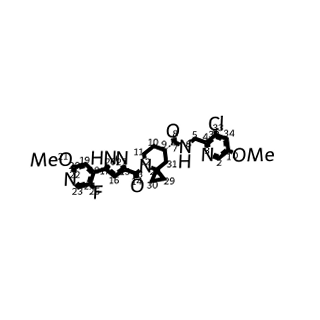 COc1cnc(CNC(=O)[C@H]2CCN(C(=O)c3cc(-c4cc(OC)ncc4F)[nH]n3)C3(CC3)C2)c(Cl)c1